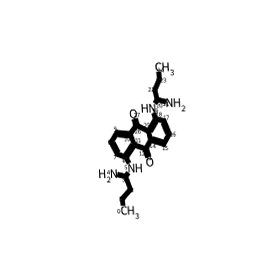 CCCC(N)Nc1cccc2c1C(=O)c1cccc(NC(N)CCC)c1C2=O